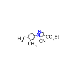 CCOC(=O)c1cnn(-c2ccc(C)c(C)c2)c1C#N